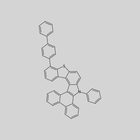 c1ccc(-c2ccc(-c3cccc4c3sc3ccc5c(c34)c3c4ccccc4c4ccccc4c3n5-c3ccccc3)cc2)cc1